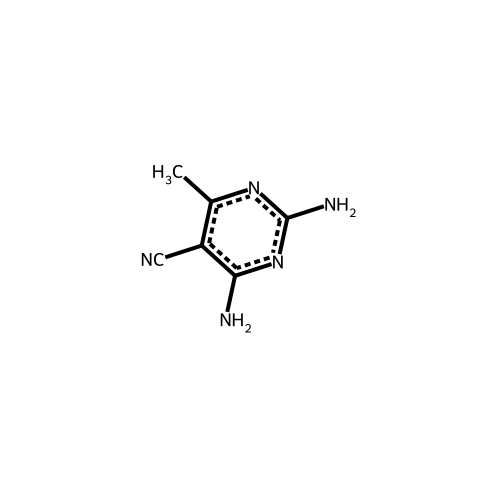 Cc1nc(N)nc(N)c1C#N